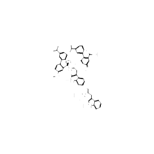 COc1ccc(-c2cccc(C(C)C)c2)c(C(=O)N[C@@H](CO)Cc2c[nH]c3ccccc23)c1.COc1ccc(-c2cccc(C(C)C)c2)c(C(=O)O)c1.N[C@@H](CO)Cc1c[nH]c2ccccc12